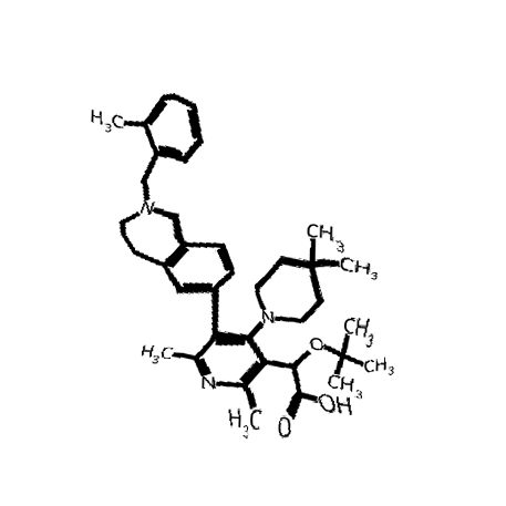 Cc1ccccc1CN1CCc2cc(-c3c(C)nc(C)c(C(OC(C)(C)C)C(=O)O)c3N3CCC(C)(C)CC3)ccc2C1